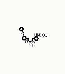 O=C(O)Nc1ccc2[nH]c(C(=O)c3cc4cc(OCc5ccccc5)ccc4o3)cc2c1